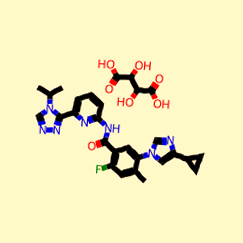 Cc1cc(F)c(C(=O)Nc2cccc(-c3nncn3C(C)C)n2)cc1-n1cnc(C2CC2)c1.O=C(O)C(O)C(O)C(=O)O